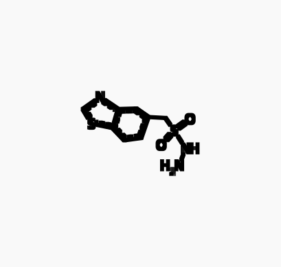 NNS(=O)(=O)Cc1ccc2scnc2c1